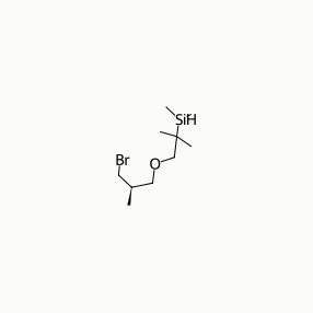 C[C@@H](CBr)COCC(C)(C)[SiH](C)C